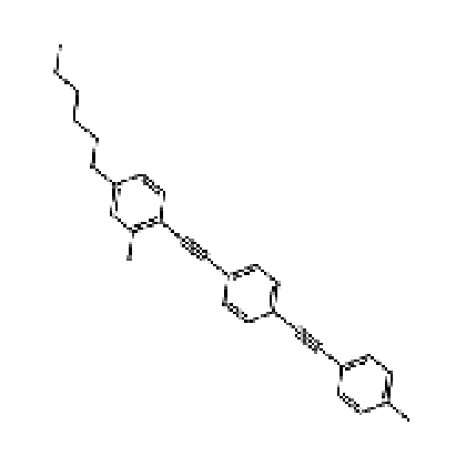 CCCCCCc1ccc(C#Cc2ccc(C#Cc3ccc(C)cc3)cc2)c(F)c1